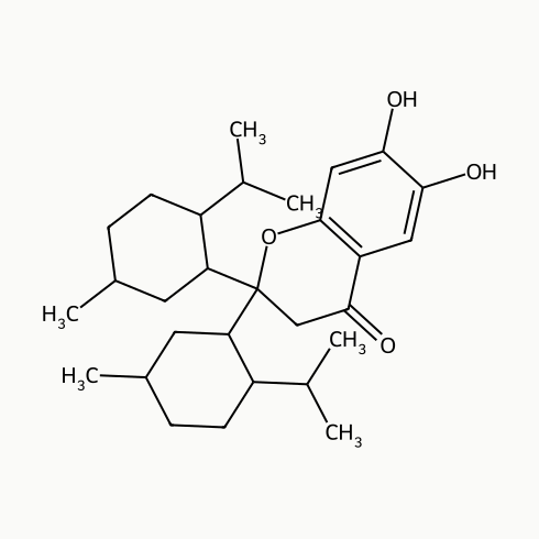 CC1CCC(C(C)C)C(C2(C3CC(C)CCC3C(C)C)CC(=O)c3cc(O)c(O)cc3O2)C1